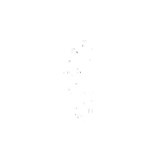 CC1(CN)COc2c1ccc1c2CN(C2CCC(=O)NC2=O)C1=O